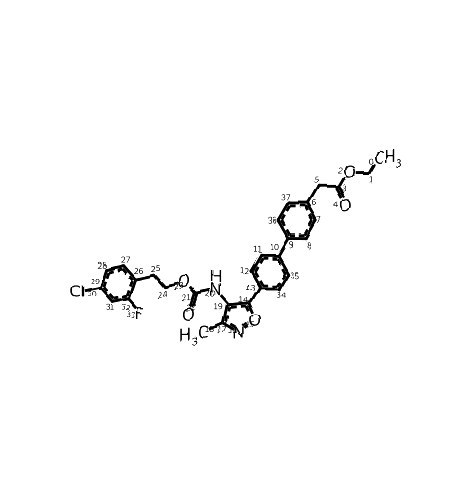 CCOC(=O)Cc1ccc(-c2ccc(-c3onc(C)c3NC(=O)OCCc3ccc(Cl)cc3F)cc2)cc1